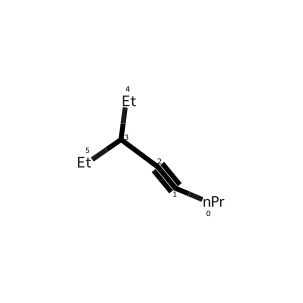 [CH2]CCC#CC(CC)CC